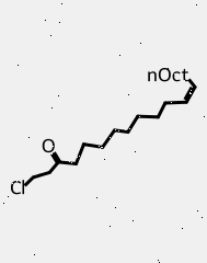 CCCCCCCC/C=C\CCCCCCCCC(=O)CCCl